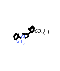 Cc1ccc(C(=O)O)cc1C1CCN(Cc2ccccc2N)CC1